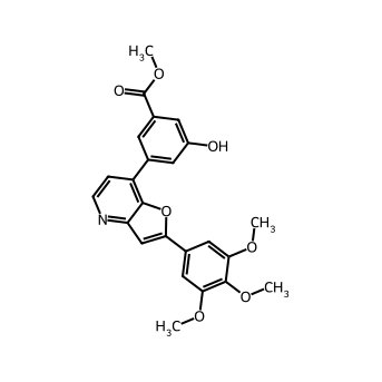 COC(=O)c1cc(O)cc(-c2ccnc3cc(-c4cc(OC)c(OC)c(OC)c4)oc23)c1